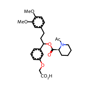 COc1ccc(CCC(OC(=O)[C@@H]2CCCCN2C(C)=O)c2cccc(OCC(=O)O)c2)cc1OC